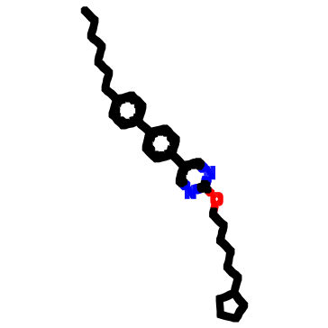 CCCCCCCc1ccc(-c2ccc(-c3cnc(OCCCCCCC4CCCC4)nc3)cc2)cc1